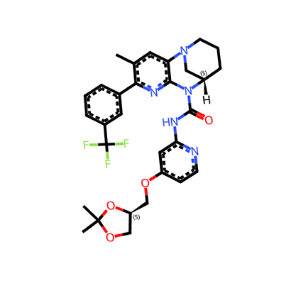 Cc1cc2c(nc1-c1cccc(C(F)(F)F)c1)N(C(=O)Nc1cc(OC[C@H]3COC(C)(C)O3)ccn1)[C@H]1CCCN2C1